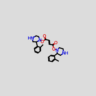 Cc1ccccc1C1CNCCN1OC(=O)/C=C/C(=O)ON1CCNCC1c1ccccc1C